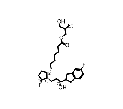 CCC(CO)COC(=O)CCCCCC[C@H]1CC[C@H](F)[C@@H]1CC[C@H](O)C1Cc2ccc(F)cc2C1